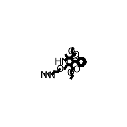 CCOC(=O)C1=C(COCCN=[N+]=[N-])NC(C)=C(C(=O)OC)C1c1ccccc1Cl